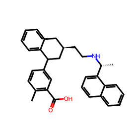 Cc1ccc(C2C[C@H](CCN[C@H](C)c3cccc4ccccc34)Cc3ccccc32)cc1C(=O)O